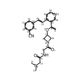 C=C(OC1CN(C(=O)CNC(=O)CN(C)C)C1)c1cnccc1/C=C/c1cccc(C#N)c1